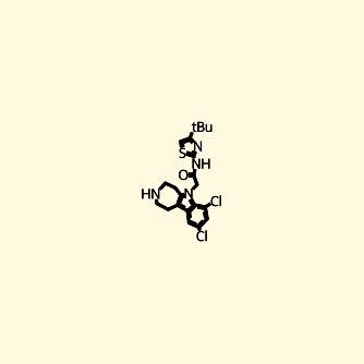 CC(C)(C)c1csc(NC(=O)Cn2c3c(c4cc(Cl)cc(Cl)c42)CCNCC3)n1